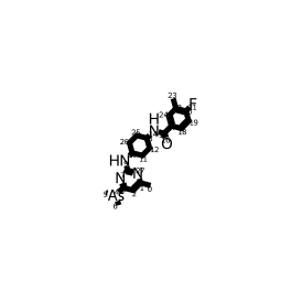 Cc1cc([As](C)C)nc(NC2CCC(NC(=O)c3ccc(F)c(C)c3)CC2)n1